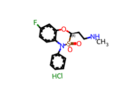 CNCC[C@@H]1Oc2cc(F)ccc2N(c2ccccc2)S1(=O)=O.Cl